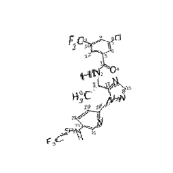 C[C@H](NC(=O)c1cc(Cl)cc(C(F)(F)F)c1)c1ncnn1-c1ccc(NSC(F)(F)F)cn1